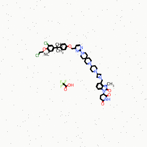 Cn1c(=O)n(C2CCC(=O)NC2=O)c2cccc(CN3CC(N4CCC(N5CCC6(CCN(c7nccc(COc8ccc(C(C)(C)c9cc(Cl)c(OCCCl)c(C#N)c9)cc8)n7)CC6)CC5)CC4)C3)c21.O=C(O)C(F)(F)F